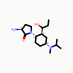 CCC(O)[C@H]1C[C@H](N(C)C(C)C)CC[C@@H]1N1CC[C@H](N)C1=O